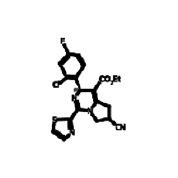 CCOC(=O)C1=C2CC(C#N)CN2C(c2nccs2)=N[C@H]1c1ccc(F)cc1Cl